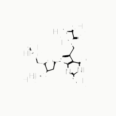 C=C(N)C(=O)NCc1cn([C@H]2CC(OPC)[C@@H](COPC)O2)c2nc(N)[nH]c(=O)c12